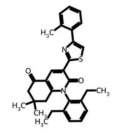 CCc1cccc(CC)c1-n1c2c(cc(-c3nc(-c4ccccc4C)cs3)c1=O)C(=O)CC(C)(C)C2